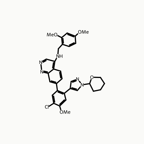 COc1ccc(CNc2cnnc3cc(-c4cc(Cl)c(OC)cc4-c4cnn(C5CCCCO5)c4)ccc23)c(OC)c1